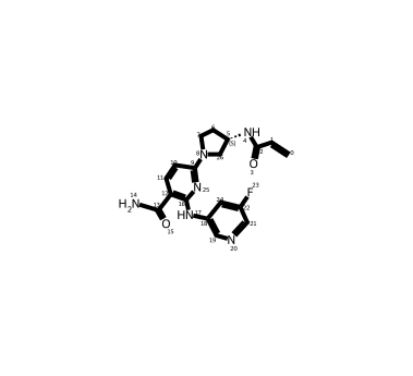 C=CC(=O)N[C@H]1CCN(c2ccc(C(N)=O)c(Nc3cncc(F)c3)n2)C1